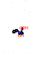 O=C(O)/C=C/c1cccc2c1N(Cc1ccc3ccccc3c1)C[C@@H]2O